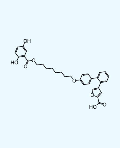 O=C(O)c1cc(-c2ccccc2-c2ccc(OCCCCCCCCOC(=O)c3cc(O)ccc3O)cc2)co1